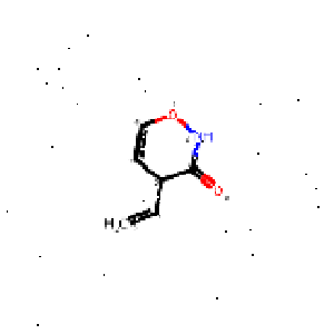 C=CC1C=CONC1=O